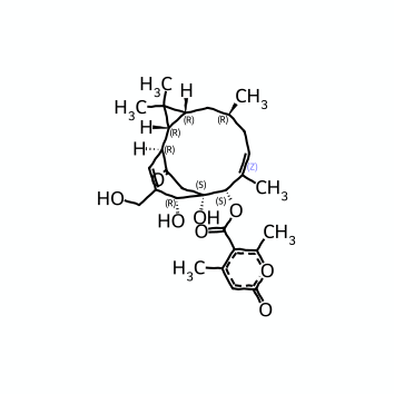 C/C1=C/C[C@H](C)C[C@@H]2[C@H]([C@@H]3C=C(CO)[C@@H](O)[C@@](O)(CC3=O)[C@H]1OC(=O)c1c(C)cc(=O)oc1C)C2(C)C